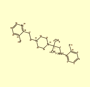 CC(C)(CNc1ccccc1F)N1CCN(CCc2ncccc2F)CC1